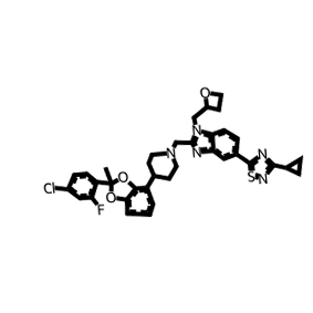 CC1(c2ccc(Cl)cc2F)Oc2cccc(C3CCN(Cc4nc5cc(-c6nc(C7CC7)ns6)ccc5n4CC4CCO4)CC3)c2O1